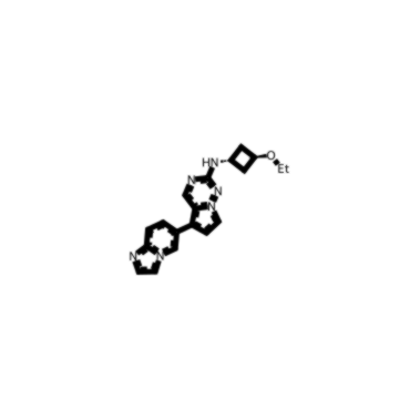 CCO[C@H]1C[C@H](Nc2ncc3c(-c4ccc5nccn5c4)ccn3n2)C1